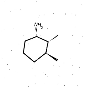 C[C@@H]1[C@@H](C)[CH]CC[C@@H]1N